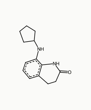 O=C1CCc2cccc(NC3CCCC3)c2N1